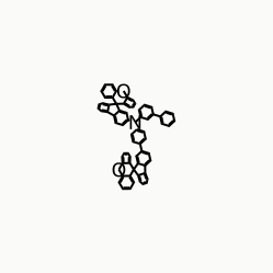 c1ccc(-c2cccc(N(c3ccc(-c4ccc5c(c4)C4(c6ccccc6Oc6ccccc64)c4ccccc4-5)cc3)c3ccc4c(c3)C3(c5ccccc5Oc5ccccc53)c3ccccc3-4)c2)cc1